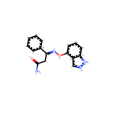 NC(=O)C/C(=N\Oc1cccc2[nH]ncc12)c1ccccc1